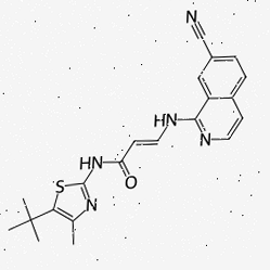 Cc1nc(NC(=O)C=CNc2nccc3ccc(C#N)cc23)sc1C(C)(C)C